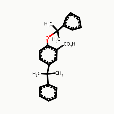 CC(C)(Oc1ccc(C(C)(C)c2ccccc2)cc1C(=O)O)c1ccccc1